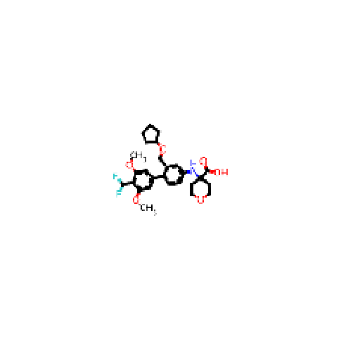 COc1cc(-c2ccc(NC3(C(=O)O)CCOCC3)cc2COC2CCCC2)cc(OC)c1C(F)F